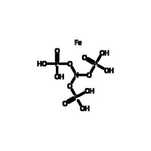 O=P(O)(O)ON(OP(=O)(O)O)OP(=O)(O)O.[Fe]